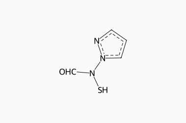 O=CN(S)n1cccn1